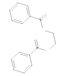 C[C@H](OC(=O)c1ccccc1)[C@@H](C)OC(=O)c1ccccc1